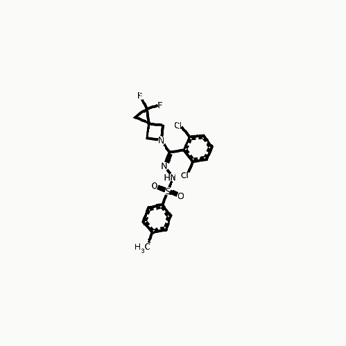 Cc1ccc(S(=O)(=O)N/N=C(\c2c(Cl)cccc2Cl)N2CC3(C2)CC3(F)F)cc1